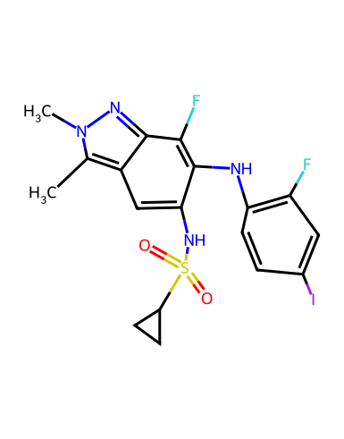 Cc1c2cc(NS(=O)(=O)C3CC3)c(Nc3ccc(I)cc3F)c(F)c2nn1C